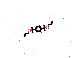 C=CCOC(C)(C)c1ccc(C(C)(C)OCC=C)cc1